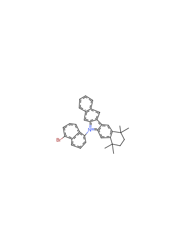 CC1(C)CCC(C)(C)c2cc3c(cc21)c1cc2ccccc2cc1n3-c1cccc2c(Br)cccc12